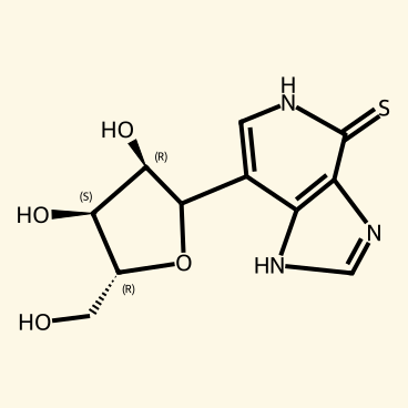 OC[C@H]1OC(c2c[nH]c(=S)c3nc[nH]c23)[C@H](O)[C@@H]1O